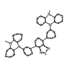 CN1c2ccccc2N(c2cccc(-c3ccc(-c4cccc(N5c6ccccc6N(C)c6ccccc65)c4)c4nsnc34)c2)c2ccccc21